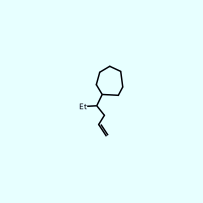 C=CCC(CC)C1CCCCCC1